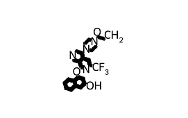 C=CC(=O)N1CCN(c2cncc3c(Oc4cc(O)cc5ccccc45)nc(C(F)(F)F)cc23)CC1